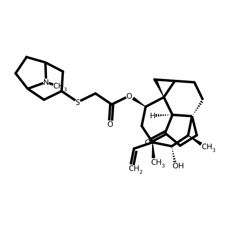 C=C[C@]1(C)C[C@@H](OC(=O)CSC2CC3CCC(C2)N3C)[C@]23CC2CC[C@]2(CCC(=O)[C@H]23)[C@@H](C)[C@@H]1O